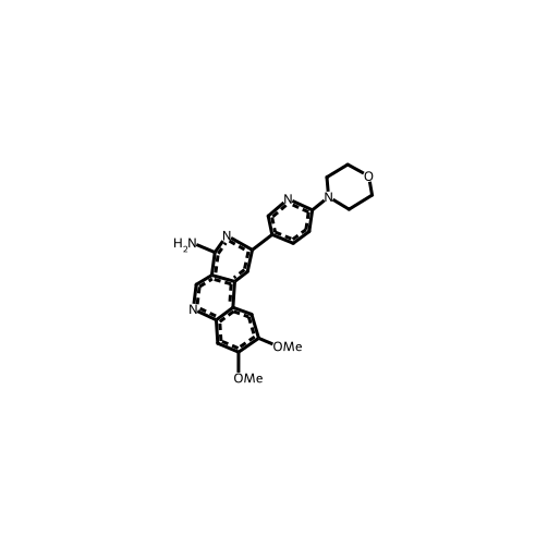 COc1cc2ncc3c(N)nc(-c4ccc(N5CCOCC5)nc4)cc3c2cc1OC